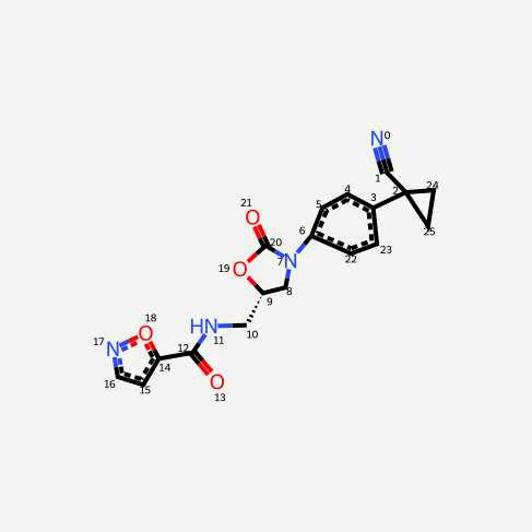 N#CC1(c2ccc(N3C[C@H](CNC(=O)c4ccno4)OC3=O)cc2)CC1